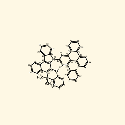 CC1(C)c2ncccc2Oc2c1c1ccccc1c1c3ccccc3n(-c3nc(-c4ccccc4)c4c5ccccc5c5ccccc5c4n3)c21